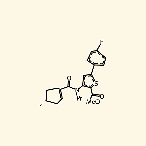 COC(=O)c1sc(-c2ccc(F)cc2)cc1N(C(=O)C1=CC[C@H](C)CC1)C(C)C